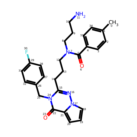 Cc1ccc(C(=O)N(CCCN)CCCc2nn3cccc3c(=O)n2Cc2ccc(F)cc2)cc1